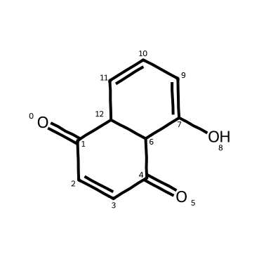 O=C1C=CC(=O)C2C(O)=CC=CC12